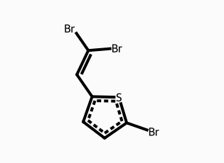 BrC(Br)=Cc1ccc(Br)s1